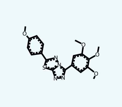 COc1ccc(-c2nn3c(-c4cc(OC)c(OC)c(OC)c4)nnc3s2)cc1